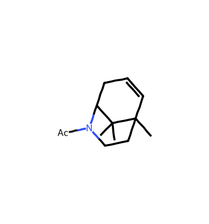 CC(=O)N1CCC2(C)C=CCC1C2(C)C